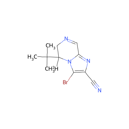 [2H]C1(C(C)(C)C)CN=Cc2nc(C#N)c(Br)n21